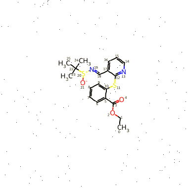 CCOC(=O)c1ccccc1Sc1ncccc1C=N[S+]([O-])C(C)(C)C